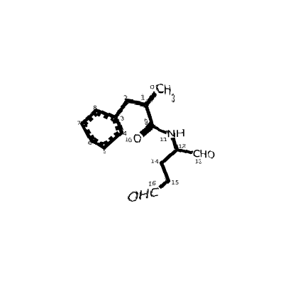 CC(Cc1ccccc1)C(=O)NC(C=O)CCC=O